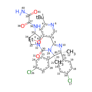 CCOc1cc(C(C)(C)C)ncc1C1=N[C@@](C)(c2ccc(Cl)cc2)[C@@](C)(c2ccc(Cl)cc2)N1C(=O)N1CCC(NC(=O)C(N)=O)C1